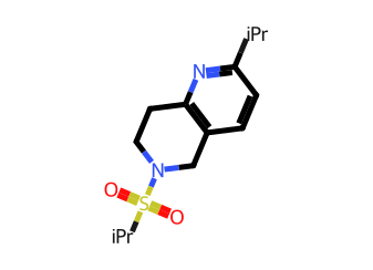 CC(C)c1ccc2c(n1)CCN(S(=O)(=O)C(C)C)C2